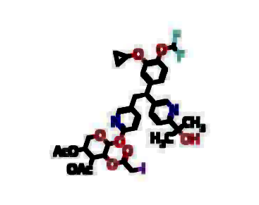 CC(=O)OC1COC(Oc2ccc(C[C@H](c3ccc(C(C)(C)O)nc3)c3ccc(OC(F)F)c(OC4CC4)c3)cn2)C(OC(=O)CI)C1OC(C)=O